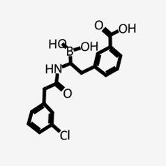 O=C(Cc1cccc(Cl)c1)NC(Cc1cccc(C(=O)O)c1)B(O)O